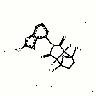 Cc1nc2c(N3C(=O)[C@@H]4[C@H](C3=O)C3(C)CCC4(C)O3)cccc2o1